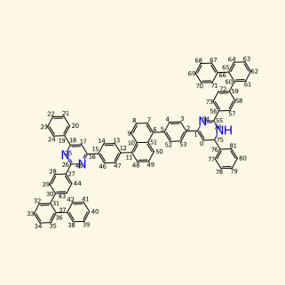 C1=C(c2ccc(-c3cccc4c(-c5ccc(-c6cc(-c7ccccc7)nc(-c7ccc(-c8ccccc8-c8ccccc8)cc7)n6)cc5)cccc34)cc2)N=C(c2ccc(-c3ccccc3-c3ccccc3)cc2)NC1c1ccccc1